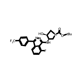 CC(C)(C)OC(=O)N1C[C@H](O)[C@H](Nc2nnc(-c3ccc(C(F)(F)F)cc3)c3cccc(F)c23)C1